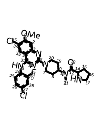 COc1cc2nc(N3CCC(N(C)C(=O)C4CCCN4)CC3)nc(Nc3ccc(Cl)cc3F)c2cc1Cl